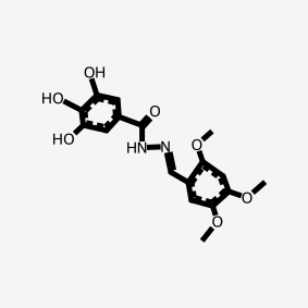 COc1cc(OC)c(OC)cc1C=NNC(=O)c1cc(O)c(O)c(O)c1